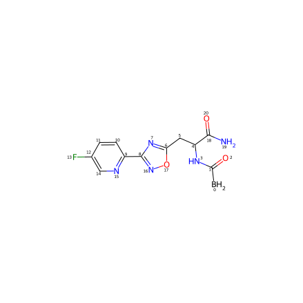 BC(=O)NC(Cc1nc(-c2ccc(F)cn2)no1)C(N)=O